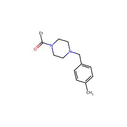 CCC(=O)N1CCN(Cc2ccc(C)cc2)CC1